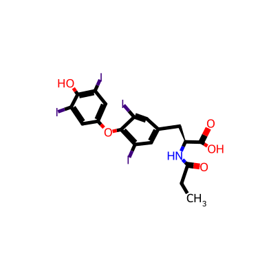 CCC(=O)N[C@@H](Cc1cc(I)c(Oc2cc(I)c(O)c(I)c2)c(I)c1)C(=O)O